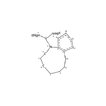 CCCCCCCC(CCCCCCC)N1CCCCCCCc2ccccc21